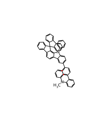 CN(c1ccccc1)c1ccccc1-c1ccc(-c2ccc3c(c2)c2ccc4c(c2n3-c2ccccc2)C2(c3ccccc3-c3ccccc32)c2ccccc2-4)cc1